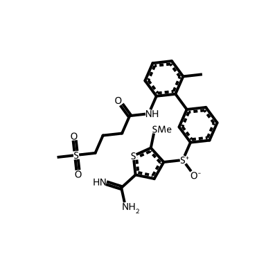 CSc1sc(C(=N)N)cc1[S+]([O-])c1cccc(-c2c(C)cccc2NC(=O)CCCS(C)(=O)=O)c1